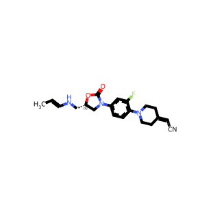 CC=CNC[C@H]1CN(c2ccc(N3CCC(=CC#N)CC3)c(F)c2)C(=O)O1